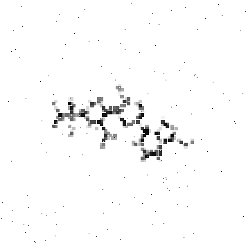 CCn1cnc2c(-c3ccc(F)c(-c4ccc(S(=O)(=O)C(C)C)cc4OC)c3)cnnc21